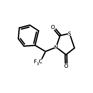 O=C1CSC(=O)N1C(c1ccccc1)C(F)(F)F